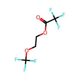 O=C(OCCOC(F)(F)F)C(F)(F)F